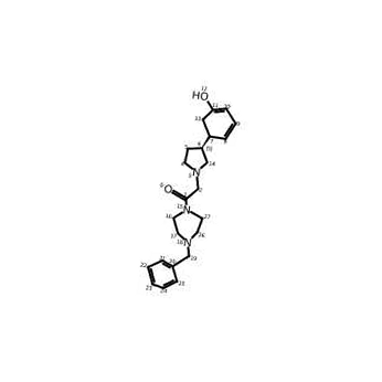 O=C(CN1CC[C@@H](C2C=CC=C(O)C2)C1)N1CCN(Cc2ccccc2)CC1